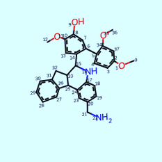 COc1ccc(-c2cc(O)c(OC)cc2C2Nc3ccc(CN)cc3C3c4ccccc4CC23)c(OC)c1